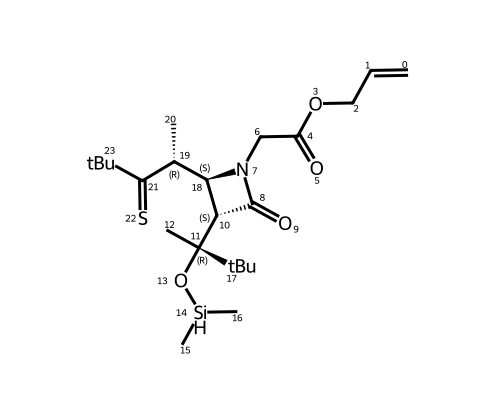 C=CCOC(=O)CN1C(=O)[C@H]([C@@](C)(O[SiH](C)C)C(C)(C)C)[C@H]1[C@@H](C)C(=S)C(C)(C)C